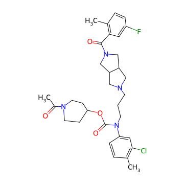 CC(=O)N1CCC(OC(=O)N(CCCN2CC3CN(C(=O)c4cc(F)ccc4C)CC3C2)c2ccc(C)c(Cl)c2)CC1